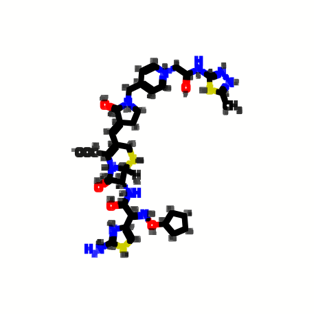 Cc1nnc(NC(=O)C[n+]2ccc(CN3CCC(=CC4=C(C(=O)[O-])N5C(=O)[C@@H](NC(=O)C(=NOC6CCCC6)c6csc(N)n6)[C@H]5SC4)C3=O)cc2)s1